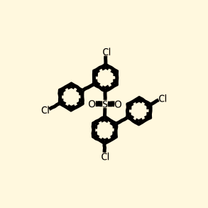 O=S(=O)(c1ccc(Cl)cc1-c1ccc(Cl)cc1)c1ccc(Cl)cc1-c1ccc(Cl)cc1